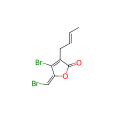 CC=CCC1=C(Br)C(=CBr)OC1=O